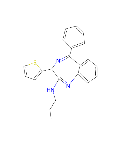 CCCNC1=Nc2ccccc2C(c2ccccc2)=NC1c1cccs1